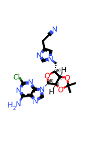 CC1(C)O[C@@H]2[C@H](O1)[C@@H](Cn1cnc(CC#N)c1)O[C@H]2n1cnc2c(N)nc(Cl)nc21